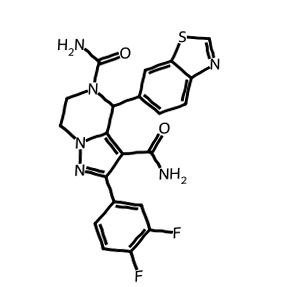 NC(=O)c1c(-c2ccc(F)c(F)c2)nn2c1C(c1ccc3ncsc3c1)N(C(N)=O)CC2